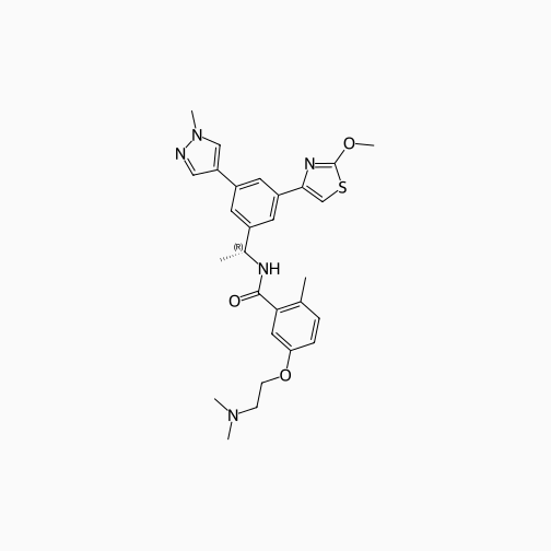 COc1nc(-c2cc(-c3cnn(C)c3)cc([C@@H](C)NC(=O)c3cc(OCCN(C)C)ccc3C)c2)cs1